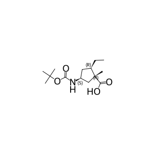 CC[C@@H]1C[C@H](NC(=O)OC(C)(C)C)C[C@@]1(C)C(=O)O